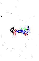 O=C(NCc1nccnc1Cl)N1CCN(C(=O)OCc2ccccc2)CC1